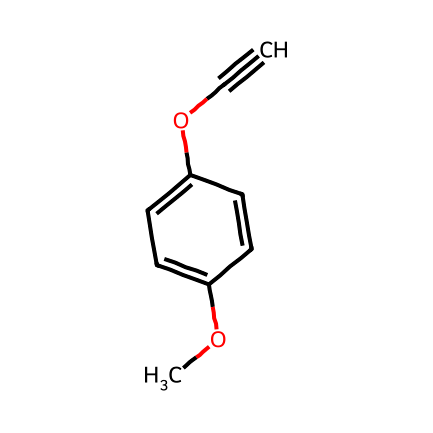 C#COc1ccc(OC)cc1